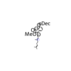 CCCCCCCCCCOc1cccc2c(OC/C=C(\C)CCC=C(C)C)c(OC)c(=O)oc12